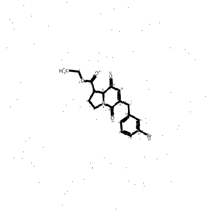 CCOC(=O)C1CCN2C(=O)C(Cc3cccc(Br)c3)=CC(=O)C12